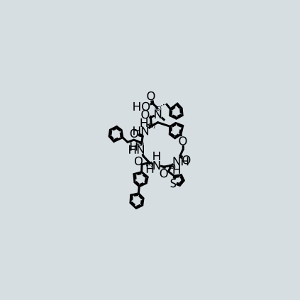 CN(C(=O)[C@@H]1Cc2ccc(cc2)OCC(=O)N[C@@H](Cc2cccs2)C(=O)N[C@H](Cc2ccc(-c3ccccc3)cc2)C(=O)N[C@@H](CCc2ccccc2)C(=O)N1)[C@@H](Cc1ccccc1)C(=O)O